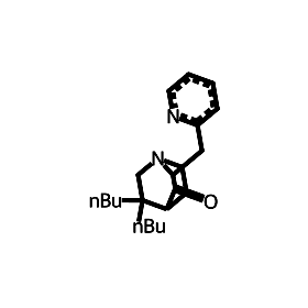 CCCCC1(CCCC)CN2CCC1C(=O)C2Cc1ccccn1